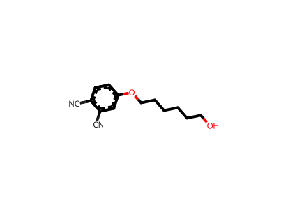 N#Cc1ccc(OCCCCCCO)cc1C#N